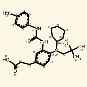 Cc1ccc(NC(=O)Nc2cc(CCC(=O)O)ccc2N(CC(C)(C)O)C2CCCCC2)cc1